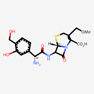 COCC1=C(C(=O)O)N2C(=O)C(NC(=O)[C@H](N)c3ccc(CO)c(O)c3)[C@@H]2SC1